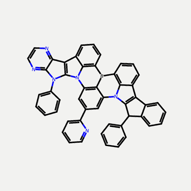 c1ccc(C2c3ccccc3-c3c2n2c4c(cccc34)B3c4c-2cc(-c2ccccn2)cc4-n2c4c3cccc4c3c4nccnc4n(-c4ccccc4)c32)cc1